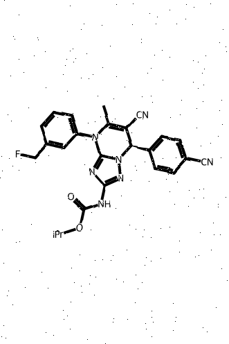 CC1=C(C#N)[C@@H](c2ccc(C#N)cc2)n2nc(NC(=O)OC(C)C)nc2N1c1cccc(CF)c1